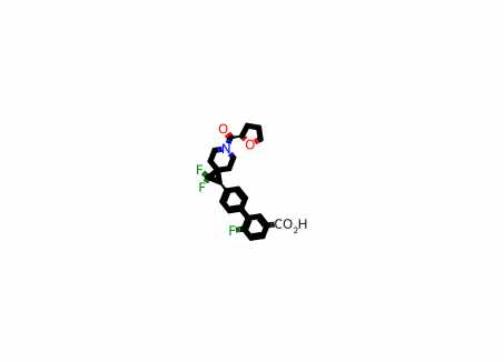 O=C(O)c1ccc(F)c(-c2ccc([C@H]3C(F)(F)C34CCN(C(=O)[C@H]3CCCO3)CC4)cc2)c1